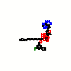 CCCCCCCCCCCCCCCCCC(COP(=O)(O)OC1[C@]2(O)C[C@H](c3ccc4c(N)ncnn34)O[C@]12C)OCc1cc(F)cc(C#N)c1